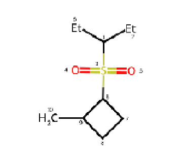 CCC(CC)S(=O)(=O)C1CCC1C